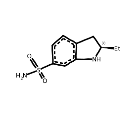 CC[C@@H]1Cc2ccc(S(N)(=O)=O)cc2N1